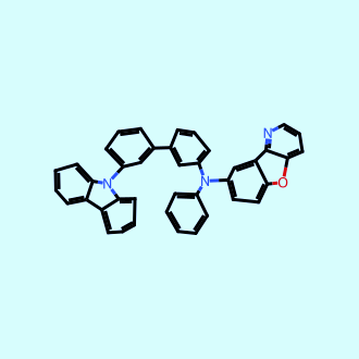 c1ccc(N(c2cccc(-c3cccc(-n4c5ccccc5c5ccccc54)c3)c2)c2ccc3oc4cccnc4c3c2)cc1